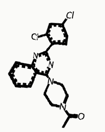 CC(=O)N1CCN(c2nc(-c3ccc(Cl)cc3Cl)nc3ccccc23)CC1